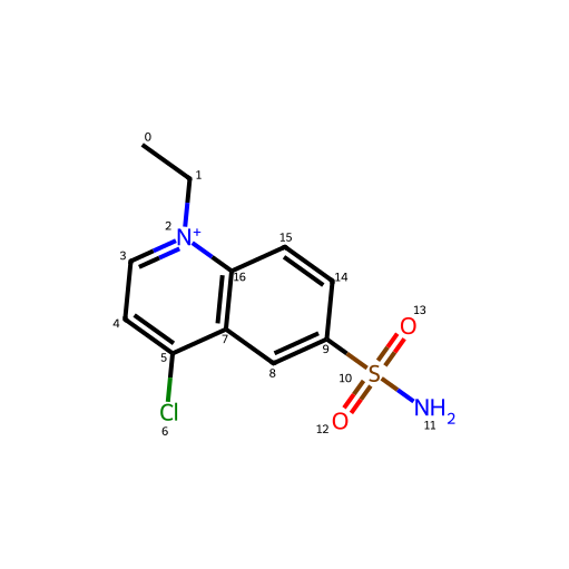 CC[n+]1ccc(Cl)c2cc(S(N)(=O)=O)ccc21